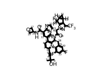 CC(C)(O)C#Cc1ccc(-c2cc(C(=O)NC3COC3)c3nccn3c2)c([C@H](Cc2cc(F)cc(F)c2)NC(=O)Cn2nc(C(F)(F)F)c3c2C(F)(F)[C@@H]2C[C@H]32)n1